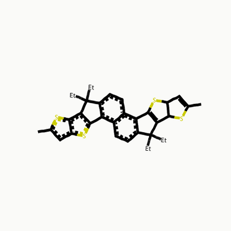 CCC1(CC)C2=C(SC3C=C(C)SC23)c2c1ccc1c3c(ccc21)C(CC)(CC)c1c-3sc2cc(C)sc12